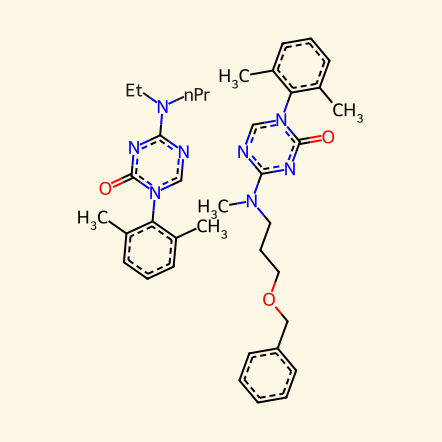 CCCN(CC)c1ncn(-c2c(C)cccc2C)c(=O)n1.Cc1cccc(C)c1-n1cnc(N(C)CCCOCc2ccccc2)nc1=O